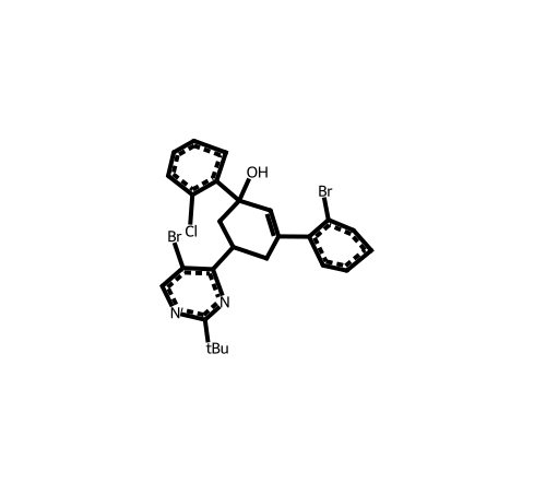 CC(C)(C)c1ncc(Br)c(C2CC(c3ccccc3Br)=CC(O)(c3ccccc3Cl)C2)n1